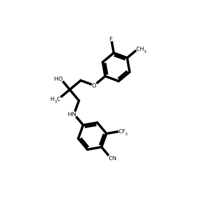 Cc1ccc(OCC(C)(O)CNc2ccc(C#N)c(C(F)(F)F)c2)cc1F